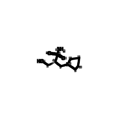 NS(=O)(=O)[C@@H](CO)CN1CCCC1